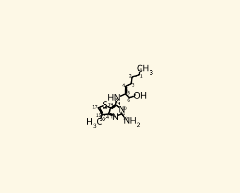 CCCCC=C(CO)Nc1nc(N)nc2c(C)csc12